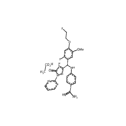 CC(=O)O.COc1cc(C(Nc2ccc(C(=N)N)cc2)c2nn(-c3ncccn3)c(=O)[nH]2)c(F)cc1OCCF